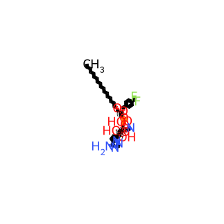 CCCCCCCCCCCCCCCCCCOC[C@H](COP(=O)(O)OC[C@@H](OC#N)[C@@H](O)[C@@H](O)c1ccc2c(N)ncnn12)OCc1ccc(C(F)F)cc1